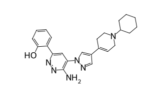 Nc1nnc(-c2ccccc2O)cc1-n1cc(C2=CCN(C3CCCCC3)CC2)cn1